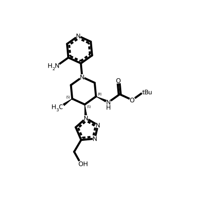 C[C@H]1CN(c2ccncc2N)C[C@@H](NC(=O)OC(C)(C)C)[C@H]1n1cc(CO)nn1